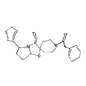 O=C(c1ccccc1)N1CCC2(CC1)OC1CCC(c3cnsc3)N1C2=O